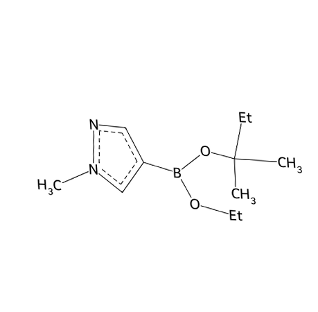 CCOB(OC(C)(C)CC)c1cnn(C)c1